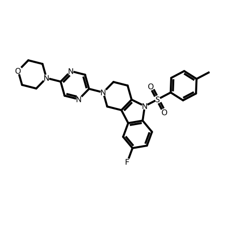 Cc1ccc(S(=O)(=O)n2c3c(c4cc(F)ccc42)CN(c2cnc(N4CCOCC4)cn2)CC3)cc1